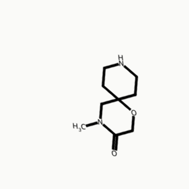 CN1CC2(CCNCC2)OCC1=O